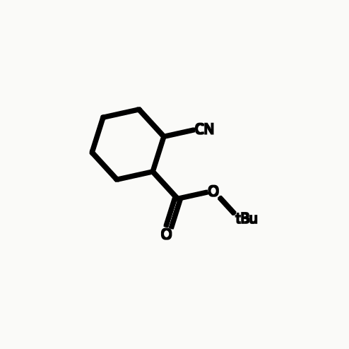 CC(C)(C)OC(=O)C1CCCCC1C#N